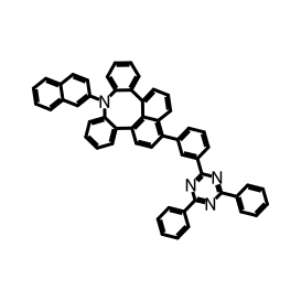 c1ccc(-c2nc(-c3ccccc3)nc(-c3cccc(-c4ccc5c6c(cccc46)-c4ccccc4N(c4ccc6ccccc6c4)c4ccccc4-5)c3)n2)cc1